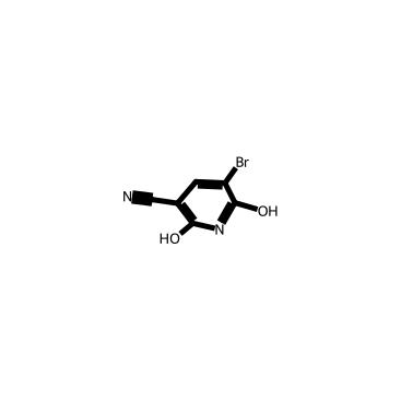 N#Cc1cc(Br)c(O)nc1O